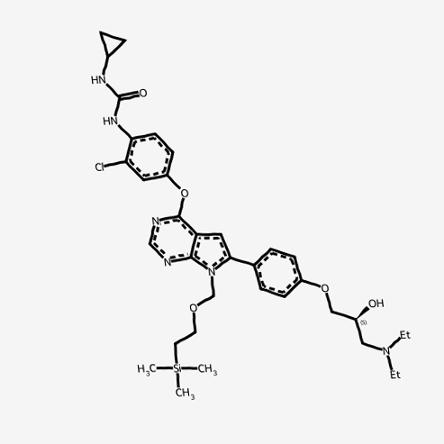 CCN(CC)C[C@H](O)COc1ccc(-c2cc3c(Oc4ccc(NC(=O)NC5CC5)c(Cl)c4)ncnc3n2COCC[Si](C)(C)C)cc1